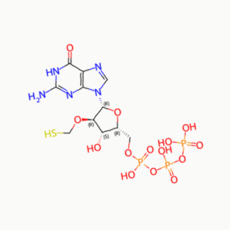 Nc1nc2c(ncn2[C@@H]2O[C@H](COP(=O)(O)OP(=O)(O)OP(=O)(O)O)[C@H](O)[C@H]2OCS)c(=O)[nH]1